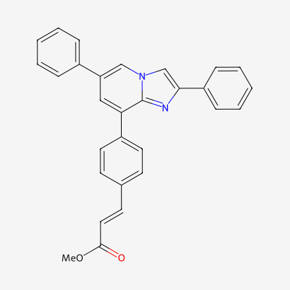 COC(=O)C=Cc1ccc(-c2cc(-c3ccccc3)cn3cc(-c4ccccc4)nc23)cc1